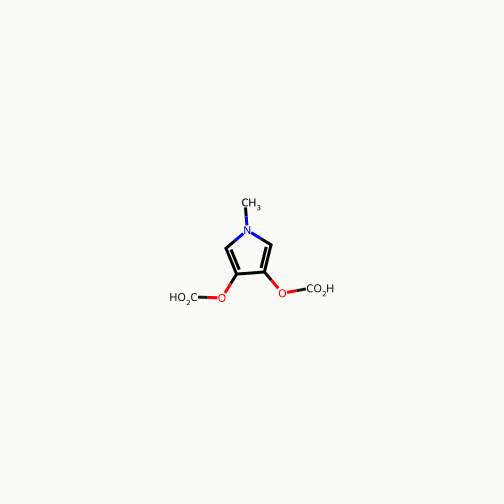 Cn1cc(OC(=O)O)c(OC(=O)O)c1